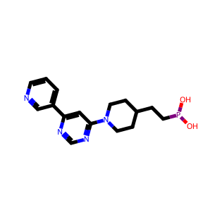 OP(O)CCC1CCN(c2cc(-c3cccnc3)ncn2)CC1